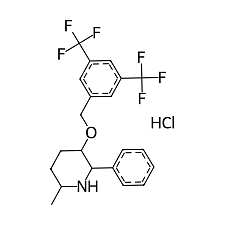 CC1CCC(OCc2cc(C(F)(F)F)cc(C(F)(F)F)c2)C(c2ccccc2)N1.Cl